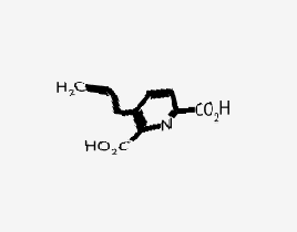 C=CCc1ccc(C(=O)O)nc1C(=O)O